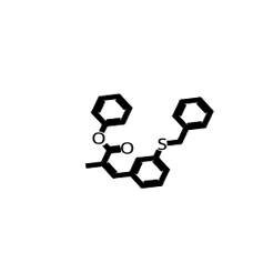 CC(=Cc1cccc(SCc2ccccc2)c1)C(=O)Oc1ccccc1